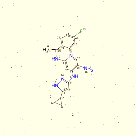 C[C@H](Nc1cc(Nc2cc(C3CC3)[nH]n2)c(N)cn1)c1ccc(F)cc1